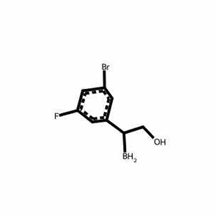 BC(CO)c1cc(F)cc(Br)c1